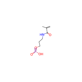 C=C(C)C(=O)NCCCO[PH](=O)O